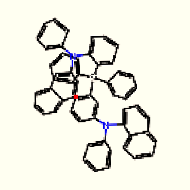 c1ccc(N(c2ccc3ccccc3c2)c2ccccc2[Si](c2ccccc2)(c2ccccc2)c2cccc(N(c3ccccc3)c3cccc4ccccc34)c2)cc1